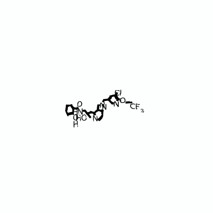 CC(O)(CNC(=O)c1ccccc1O)Cc1nccc2nn(Cc3cnc(OCCC(F)(F)F)c(Cl)c3)cc12